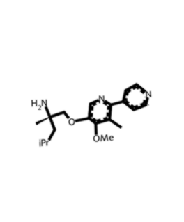 COc1c(OC[C@@](C)(N)CC(C)C)cnc(-c2c[c]ncc2)c1C